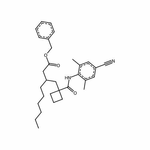 CCCCCCC(CC(=O)OCc1ccccc1)CC1(C(=O)Nc2c(C)cc(C#N)cc2C)CCC1